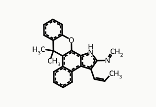 C=Nc1[nH]c2c3c(c4ccccc4c2c1/C=C\C)C(C)(C)c1ccccc1O3